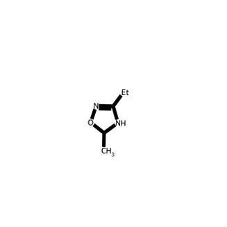 CCC1=NOC(C)N1